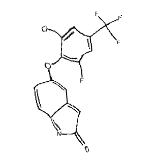 O=C1C=c2cc(Oc3c(F)cc(C(F)(F)F)cc3Cl)ccc2=N1